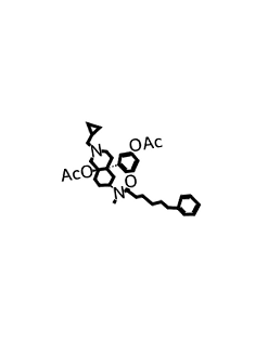 CC(=O)Oc1cccc([C@@]23CCN(CC4CC4)C[C@@]2(OC(C)=O)CC[C@@H](N(C)C(=O)CCCCCc2ccccc2)C3)c1